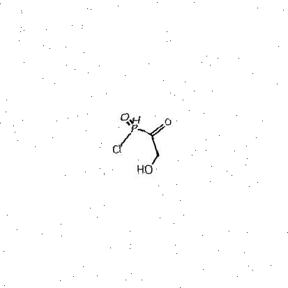 O=C(CO)[PH](=O)Cl